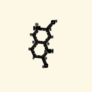 O=c1cc2[nH]c(=O)ccc2c[nH]1